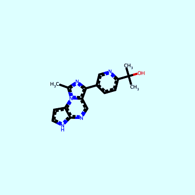 Cc1nc(-c2ccc(C(C)(C)O)nc2)c2cnc3[nH]ccc3n12